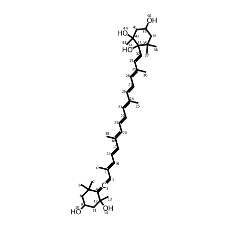 C\C(C=C=C1C(C)(C)CC(O)CC1(C)O)=C/C=C/C(C)=C/C=C/C=C(C)/C=C/C=C(C)/C=C/C1(O)C(C)(C)CC(O)CC1(C)O